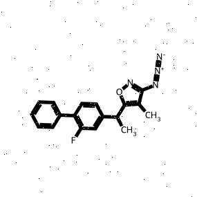 Cc1c(N=[N+]=[N-])noc1C(C)c1ccc(-c2ccccc2)c(F)c1